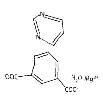 O.O=C([O-])c1cccc(C(=O)[O-])c1.[Mg+2].c1cncnc1